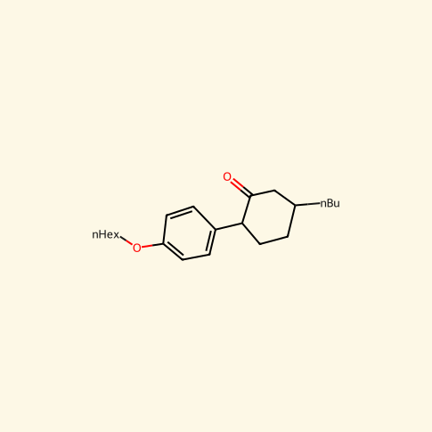 CCCCCCOc1ccc(C2CCC(CCCC)CC2=O)cc1